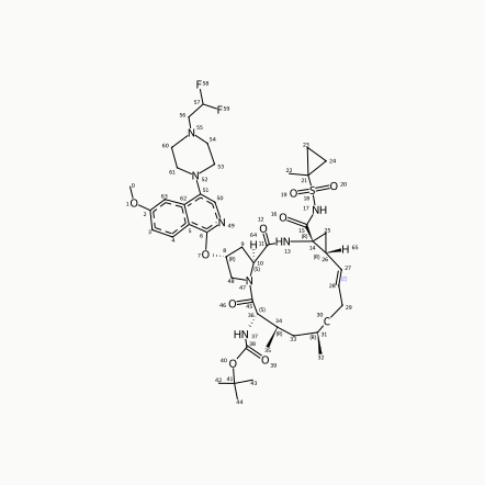 COc1ccc2c(O[C@@H]3C[C@H]4C(=O)N[C@]5(C(=O)NS(=O)(=O)C6(C)CC6)C[C@@H]5/C=C\CC[C@@H](C)C[C@@H](C)[C@H](NC(=O)OC(C)(C)C)C(=O)N4C3)ncc(N3CCN(CC(F)F)CC3)c2c1